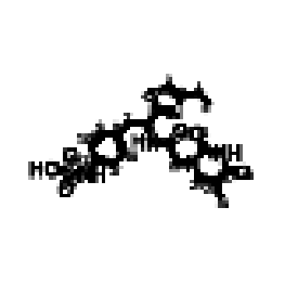 CCc1csc(C(Cc2[c]cc(NS(=O)(=O)O)cc2)NC(=O)Cn2cc(C)c(=O)[nH]c2=O)n1